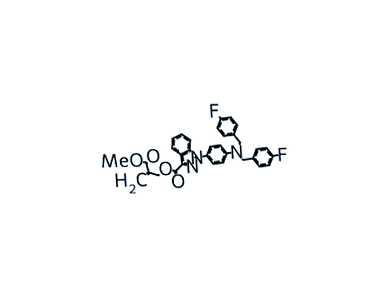 C=C(COC(=O)c1nn(-c2ccc(N(Cc3ccc(F)cc3)Cc3ccc(F)cc3)cc2)c2ccccc12)C(=O)OC